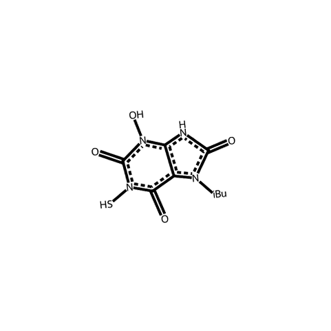 CCC(C)n1c(=O)[nH]c2c1c(=O)n(S)c(=O)n2O